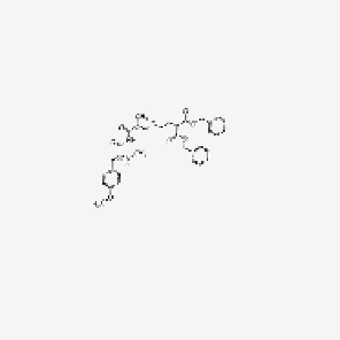 CN[C@@H](Cc1ccc(OC)cc1)C(=O)NC(=O)[C@H](C)COCCC(C(=O)OCc1ccccc1)C(=O)OCc1ccccc1